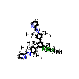 Br.Br.Br.Br.Cc1cc(-c2cc(C(C)C)cc(-c3cc(C)c(N=Cc4ccccn4)c(C)c3)c2C)cc(C)c1N=Cc1ccccn1.[Pd].[Pd]